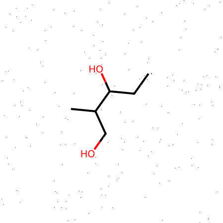 [CH2]CC(O)C(C)CO